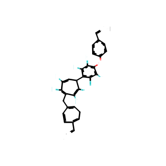 C=CC1=CCC=C(CC2=C(F)C(F)=CC(c3c(F)c(F)c(Oc4ccc(C=C)cc4)c(F)c3F)C(F)=C2F)C=C1